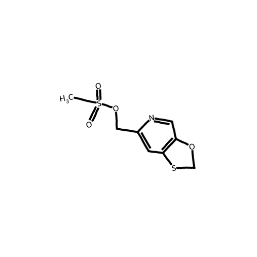 CS(=O)(=O)OCc1cc2c(cn1)OCS2